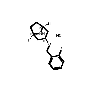 Cl.Fc1ccccc1CO[C@H]1C[C@H]2CC[C@@H](C1)N2